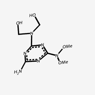 CON(OC)c1nc(N)nc(N(CO)CO)n1